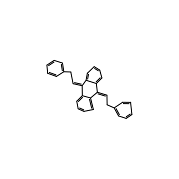 C(Cc1ccccc1)=c1c2ccccc2c(=CCc2ccccc2)c2ccccc12